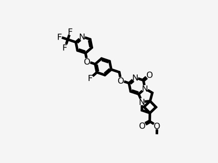 COC(=O)C12CN3c4cc(OCc5ccc(Oc6ccnc(C(F)(F)F)c6)c(F)c5)nc(=O)n4CC3(C1)C2